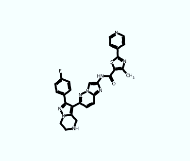 Cc1nc(-c2ccncc2)sc1C(=O)Nc1cn2nc(-c3c(-c4ccc(F)cc4)nn4c3CNCC4)ccc2n1